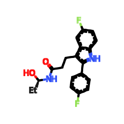 CC[C@@H](O)NC(=O)CCc1c(-c2ccc(F)cc2)[nH]c2ccc(F)cc12